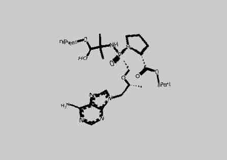 CCCCCOC(=O)[C@H]1CCCN1[P@](=O)(CO[C@H](C)Cn1cnc2c(N)ncnc21)NC(C)(C)C(O)OCCCCC